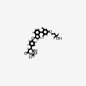 Cc1cc(OCCC(C)(C)O)cc(C)c1-c1cccc2c1CC[C@H]2Oc1ccc(C2CC(=O)NS(=O)(=O)N2)cc1